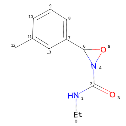 CCNC(=O)N1OC1c1cccc(C)c1